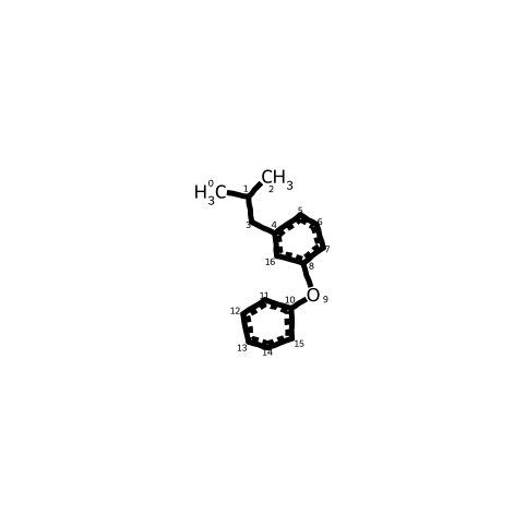 CC(C)Cc1cccc(Oc2ccccc2)c1